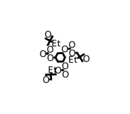 CCC1(COC(=O)OC2CC(OC(=O)OCC3(CC)COC3)CC(OC(=O)OCC3(CC)COC3)C2)COC1